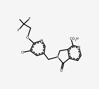 CC(F)(F)COc1ncc(CN2Cc3c(ccnc3C(=O)O)C2=O)cc1Cl